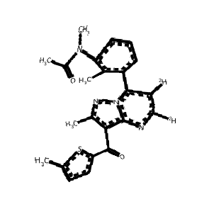 [2H]c1nc2c(C(=O)c3ccc(C)s3)c(C)nn2c(-c2cccc(N(C)C(C)=O)c2C)c1[2H]